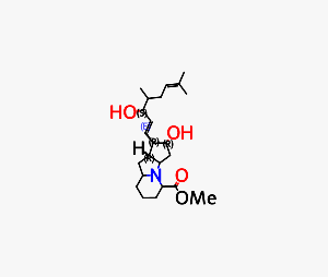 COC(=O)C1CCCC2C[C@H]3C(C[C@@H](O)[C@@H]3/C=C/[C@@H](O)C(C)CC=C(C)C)N21